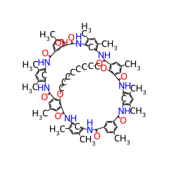 Cc1cc2cc(c1)C(=O)Nc1cc(c(C)cc1C)NC(=O)c1cc(C)cc3c1OCCCCCCCCOc1c(cc(C)cc1C(=O)Nc1cc(c(C)cc1C)NC(=O)c1cc(C)cc(c1O)C(=O)Nc1cc(c(C)cc1C)NC3=O)C(=O)Nc1cc(c(C)cc1C)NC2=O